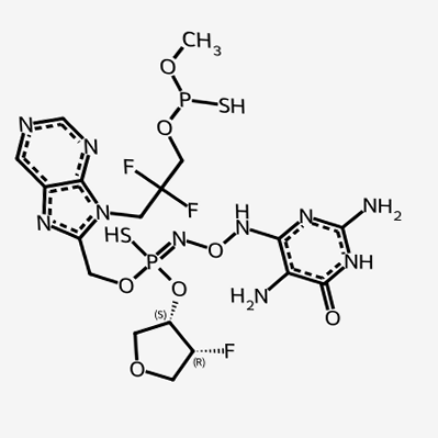 COP(S)OCC(F)(F)Cn1c(COP(S)(=NONc2nc(N)[nH]c(=O)c2N)O[C@H]2COC[C@H]2F)nc2cncnc21